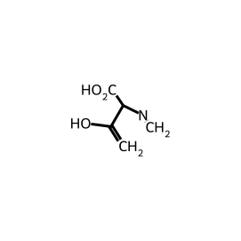 C=NC(C(=C)O)C(=O)O